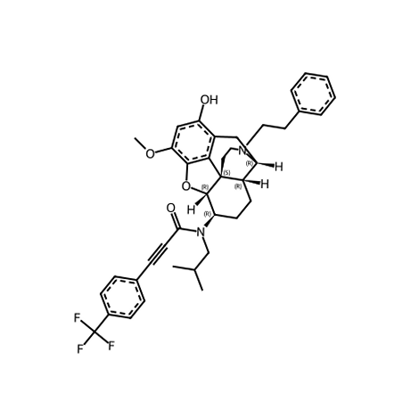 COc1cc(O)c2c3c1O[C@H]1[C@H](N(CC(C)C)C(=O)C#Cc4ccc(C(F)(F)F)cc4)CC[C@H]4[C@@H](C2)N(CCc2ccccc2)CC[C@@]341